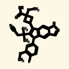 COc1cc(-n2c(C(C)(C)CC#N)c(C3CC(OC)(C(=O)O)C3)c3cc4[nH]ncc4cc32)ccc1F